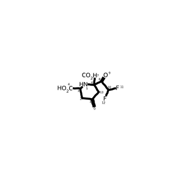 C=C1CC(C(=O)O)NC(C(=O)O)(C(=O)C(F)F)C1